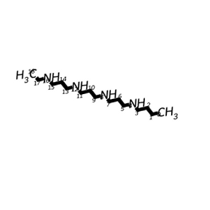 CCCCNCCCNCCCNCCCNCC